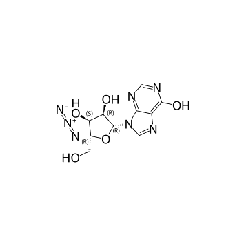 [N-]=[N+]=N[C@]1(CO)O[C@@H](n2cnc3c(O)ncnc32)[C@H](O)[C@@H]1O